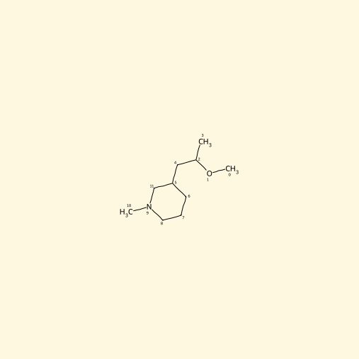 COC(C)CC1CCCN(C)C1